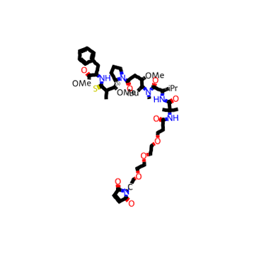 CCC(C)C(C(CC(=O)N1CCC[C@H]1C(OC)C(C)C(=S)NC(Cc1ccccc1)C(=O)OC)OC)N(C)C(=O)C(NC(=O)C(C)(C)NC(=O)CCOCCOCCOCCN1C(=O)C=CC1=O)C(C)C